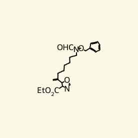 C=C(CCCCCCN(C=O)OCc1ccccc1)C1OC=NC1C(=O)OCC